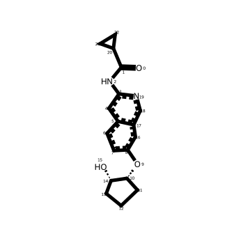 O=C(Nc1cc2ccc(O[C@@H]3CCC[C@@H]3O)cc2cn1)C1CC1